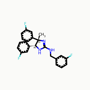 C[C@@]1(c2cccc(F)c2)N=C(NCc2cccc(F)c2)N[C@@H]1c1cccc(F)c1